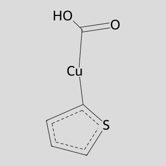 O=[C](O)[Cu][c]1cccs1